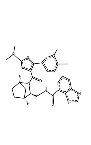 Cc1ccc(-c2sc(N(C)C)nc2C(=O)N2[C@@H]3CC[C@@H](C3)[C@@H]2CNC(=O)c2cccc3ncsc23)cc1C